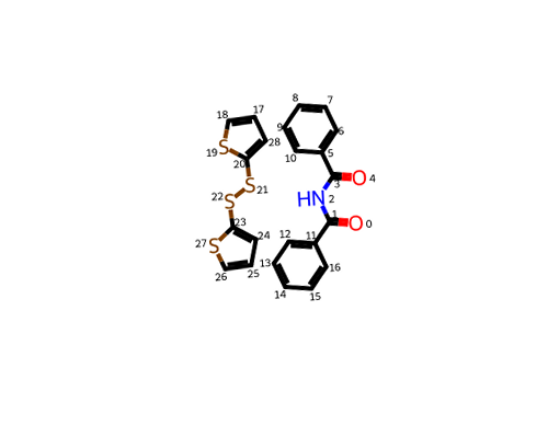 O=C(NC(=O)c1ccccc1)c1ccccc1.c1csc(SSc2cccs2)c1